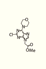 COC(=O)Cn1cnc2c(N3CCOCC3)nc(Cl)nc21